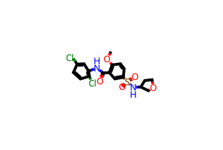 COc1ccc(S(=O)(=O)NC2CCOC2)cc1C(=O)Nc1cc(Cl)ccc1Cl